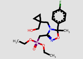 CCOP(=O)(CC1=NOC(C)(c2ccc(F)cc2)N1CC1(CO)CC1)OCC